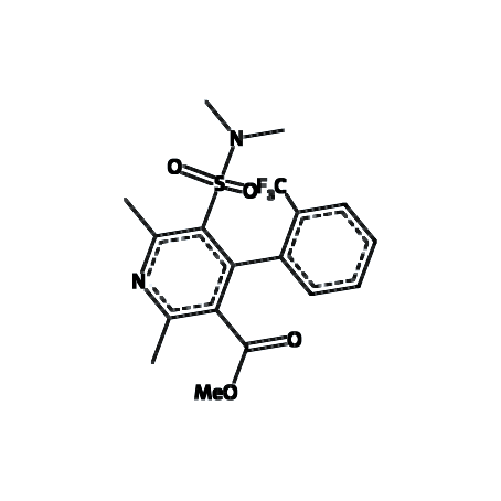 COC(=O)c1c(C)nc(C)c(S(=O)(=O)N(C)C)c1-c1ccccc1C(F)(F)F